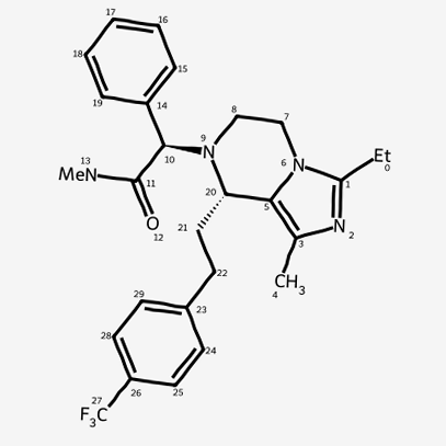 CCc1nc(C)c2n1CCN([C@@H](C(=O)NC)c1ccccc1)[C@H]2CCc1ccc(C(F)(F)F)cc1